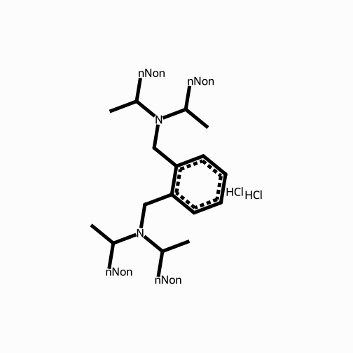 CCCCCCCCCC(C)N(Cc1ccccc1CN(C(C)CCCCCCCCC)C(C)CCCCCCCCC)C(C)CCCCCCCCC.Cl.Cl